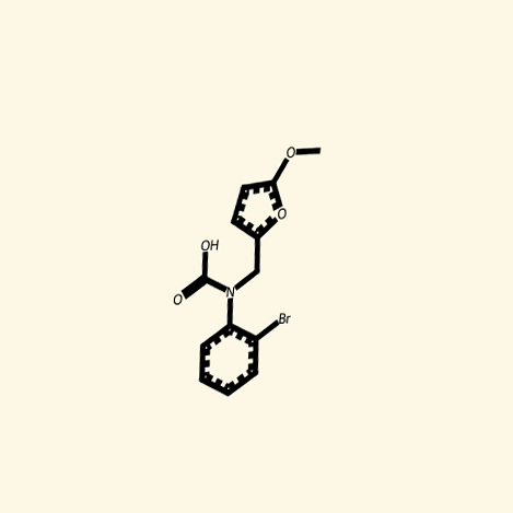 COc1ccc(CN(C(=O)O)c2ccccc2Br)o1